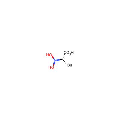 CC[C@@H](C)[C@@H](C(=O)O)N(O)O